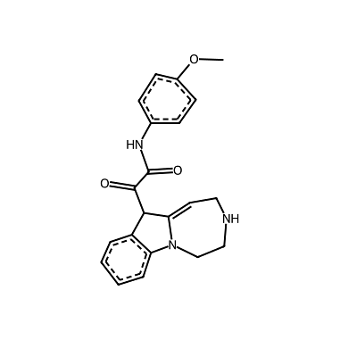 COc1ccc(NC(=O)C(=O)C2C3=CCNCCN3c3ccccc32)cc1